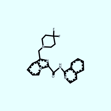 O=C(Nc1nccc2ccccc12)c1nc(CN2CCC(F)(F)CC2)c2ccccn12